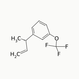 C=C[C](C)c1cccc(OC(F)(F)F)c1